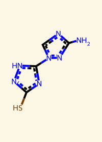 Nc1ncn(-c2nc(S)n[nH]2)n1